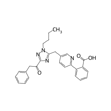 CCCCn1nc(C(=O)Cc2ccccc2)nc1Cc1ccc(-c2ccccc2C(=O)O)nc1